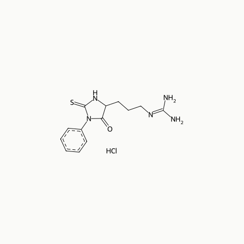 Cl.NC(N)=NCCCC1NC(=S)N(c2ccccc2)C1=O